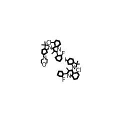 Cc1c(-c2ccccc2F)nc2cccc(Cl)c2c1N1CC(C)(C)c2ccc(I)cc21.Cc1c(-c2ccccc2F)nc2cccc(Cl)c2c1N1CC(C)(C)c2ccc(N3CCOCC3)cc21